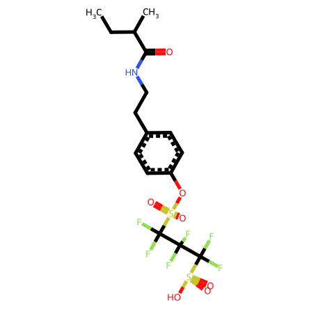 CCC(C)C(=O)NCCc1ccc(OS(=O)(=O)C(F)(F)C(F)(F)C(F)(F)S(=O)(=O)O)cc1